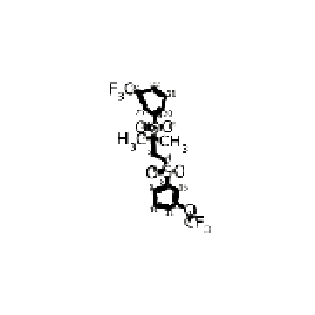 CC(C)(CCS(=O)(=O)c1cccc(OC(F)(F)F)c1)S(=O)(=O)c1cccc(C(F)(F)F)c1